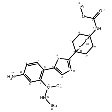 CC(C)OC(=O)NC12CCC(c3ncc(-c4ccc(N)cc4[S+]([O-])NC(C)(C)C)s3)(CC1)CC2